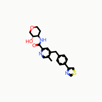 Cc1cnc(C(=O)NC2CCOC[C@H]2O)cc1Cc1ccc(-c2cscn2)cc1